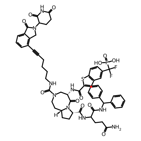 NC(=O)CCC(NC(=O)[C@@H]1CC[C@@H]2CCN(C(=O)NCCCCC#Cc3cccc4c3CN(C3CCC(=O)NC3=O)C4=O)C[C@H](NC(=O)c3cc4cc(C(F)(F)P(=O)(O)O)ccc4s3)C(=O)N21)C(=O)NC(c1ccccc1)c1ccccc1